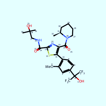 COc1cc(C(O)(C(F)(F)F)C(F)(F)F)ccc1-c1sc(C(=O)NCC(C)(C)O)nc1C(=O)N1CCCC[C@@H]1C